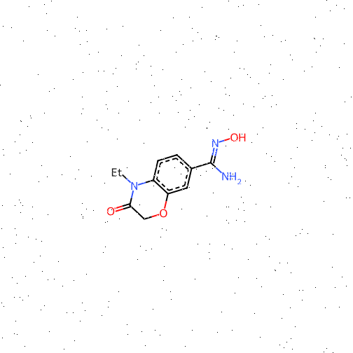 CCN1C(=O)COc2cc(/C(N)=N/O)ccc21